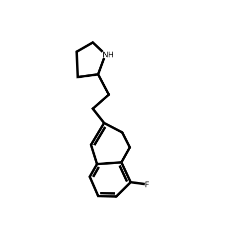 Fc1cccc2c1CCC(CCC1CCCN1)=C2